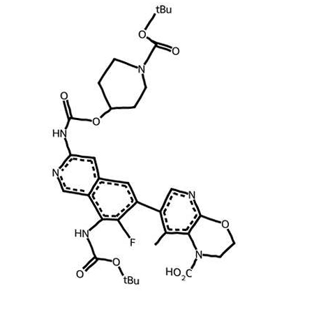 Cc1c(-c2cc3cc(NC(=O)OC4CCN(C(=O)OC(C)(C)C)CC4)ncc3c(NC(=O)OC(C)(C)C)c2F)cnc2c1N(C(=O)O)CCO2